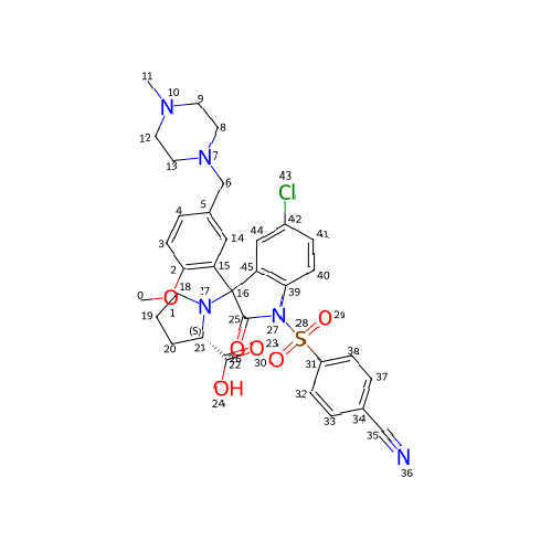 COc1ccc(CN2CCN(C)CC2)cc1C1(N2CCC[C@H]2C(=O)O)C(=O)N(S(=O)(=O)c2ccc(C#N)cc2)c2ccc(Cl)cc21